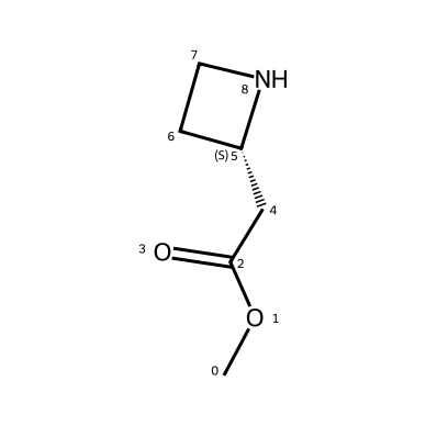 COC(=O)C[C@@H]1CCN1